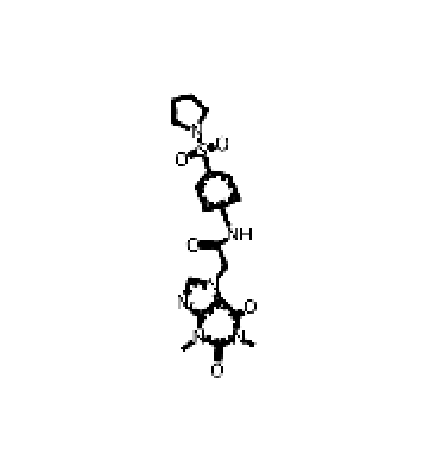 Cn1c(=O)c2c(ncn2CC(=O)Nc2ccc(S(=O)(=O)N3CCCC3)cc2)n(C)c1=O